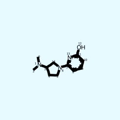 CN(C)C1CCN(c2cccc(O)n2)C1